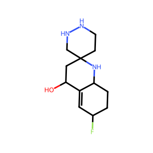 OC1CC2(CCNNC2)NC2CCC(F)C=C12